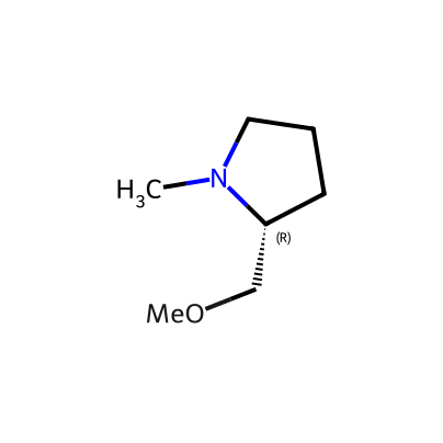 COC[C@H]1CCCN1C